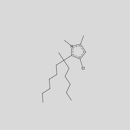 CCCCCCC(C)(CCCCC)c1c(Cl)cc(C)n1C